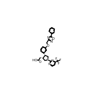 O=C(O)C[C@H]1CN(c2nccc(C(F)(F)F)n2)C[C@H]1c1cccc(OCc2noc(-c3ccccc3)n2)c1